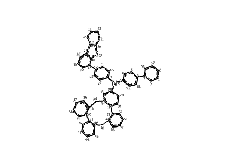 c1ccc(-c2ccc(N(c3ccc(-c4cccc5c4sc4ccccc45)cc3)c3ccc4c(c3)Cc3ccccc3-c3ccccc3Cc3ccccc3-4)cc2)cc1